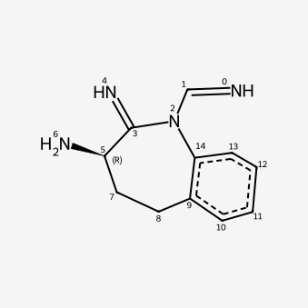 N=CN1C(=N)[C@H](N)CCc2ccccc21